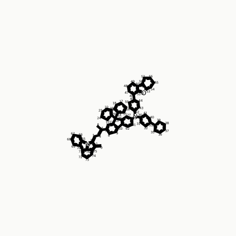 C=c1/c(=C\C=C(/C)c2ccc3c(c2)C(c2ccccc2)(c2ccccc2)c2cc(N(c4ccc(-c5ccccc5)cc4)c4ccc(-c5cccc6c5oc5ccccc56)cc4)ccc2-3)n2c3ccccc3c3cccc1c32